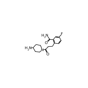 NC(=O)c1cc(F)ccc1C[CH]C(=O)N1CCC(N)CC1